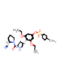 CCOc1cc(OS(=O)(=O)c2ccc(C)cc2)cc(OCC)c1[C@@H]1CN[C@H](C(=O)N2CCC[C@H]2C#N)C1